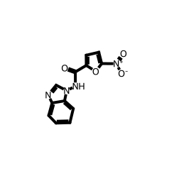 O=C(Nn1cnc2ccccc21)c1ccc([N+](=O)[O-])o1